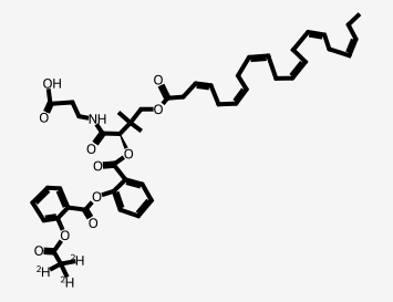 [2H]C([2H])([2H])C(=O)Oc1ccccc1C(=O)Oc1ccccc1C(=O)O[C@@H](C(=O)NCCC(=O)O)C(C)(C)COC(=O)C/C=C\C/C=C\C/C=C\C/C=C\C/C=C\C/C=C\CC